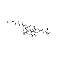 CCCCCCCCCCCCCCCCCC(=O)[O-].c1ccc([I+]c2ccccc2)cc1